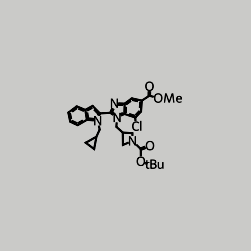 COC(=O)c1cc(Cl)c2c(c1)nc(-c1cc3ccccc3n1CC1CC1)n2CC1CN(C(=O)OC(C)(C)C)C1